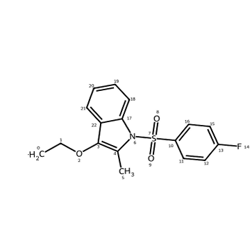 [CH2]COc1c(C)n(S(=O)(=O)c2ccc(F)cc2)c2ccccc12